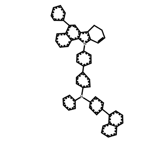 C1=Cc2c(c3cc(-c4ccccc4)c4ccccc4c3n2-c2ccc(-c3ccc(N(c4ccccc4)c4ccc(-c5cccc6ccccc56)cc4)cc3)cc2)CC1